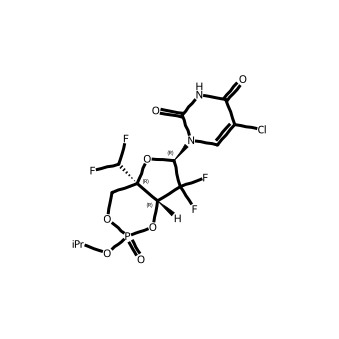 CC(C)OP1(=O)OC[C@@]2(C(F)F)O[C@@H](n3cc(Cl)c(=O)[nH]c3=O)C(F)(F)[C@@H]2O1